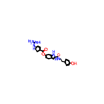 N=C(N)Nc1ccc(C(=O)Oc2ccc3cc(C(=O)NCCc4ccc(O)cc4)[nH]c3c2)cc1